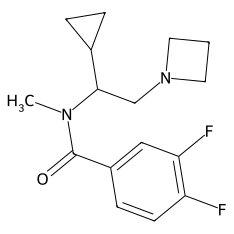 CN(C(=O)c1ccc(F)c(F)c1)C(CN1CCC1)C1CC1